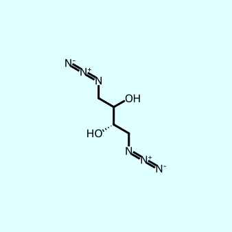 [N-]=[N+]=NCC(O)[C@@H](O)CN=[N+]=[N-]